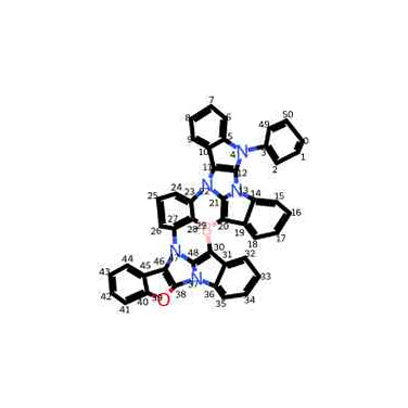 c1ccc(-n2c3ccccc3c3c2n2c4ccccc4c4c2n3-c2cccc3c2B4c2c4ccccc4n4c5oc6ccccc6c5n-3c24)cc1